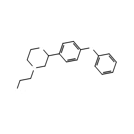 O=C(O)CCN1CCOC(c2ccc(Oc3ccccc3)cc2)C1